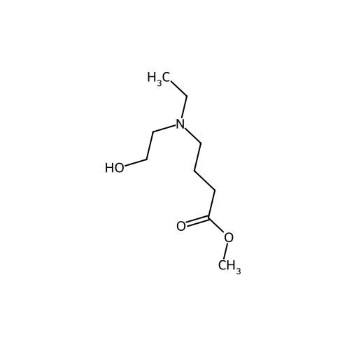 CCN(CCO)CCCC(=O)OC